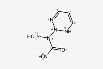 NC(=O)N(N1N=CC=CN1)S(=O)(=O)O